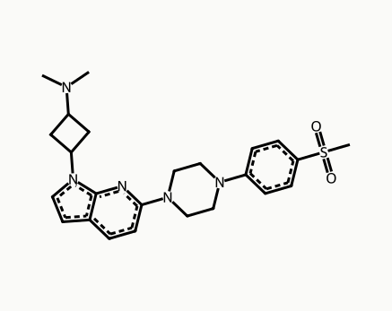 CN(C)C1CC(n2ccc3ccc(N4CCN(c5ccc(S(C)(=O)=O)cc5)CC4)nc32)C1